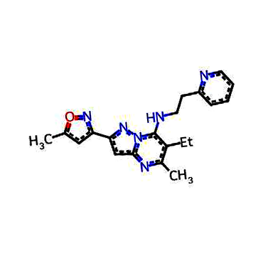 CCc1c(C)nc2cc(-c3cc(C)on3)nn2c1NCCc1ccccn1